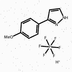 COc1ccc(-c2cc[nH]n2)cc1.F[P-](F)(F)(F)(F)F.[H+]